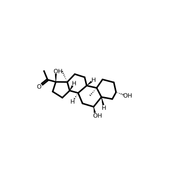 CC(=O)[C@@]1(O)CC[C@H]2[C@@H]3C[C@H](O)[C@H]4C[C@@H](O)CC[C@]4(C)[C@H]3CC[C@@]21C